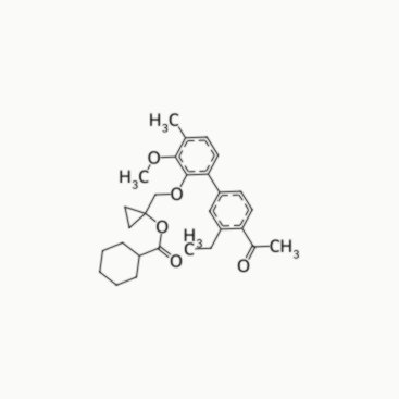 CCc1cc(-c2ccc(C)c(OC)c2OCC2(OC(=O)C3CCCCC3)CC2)ccc1C(C)=O